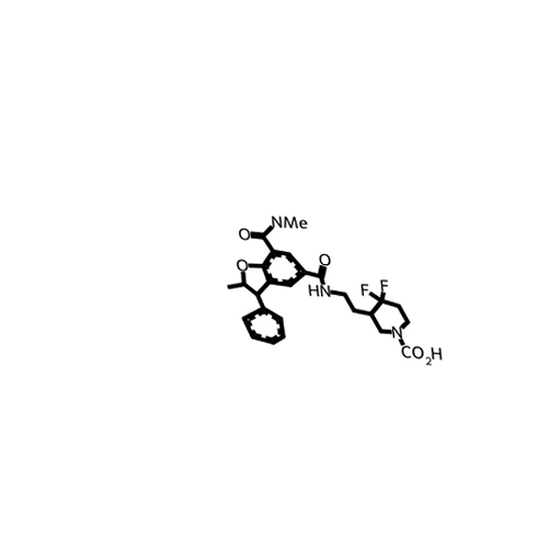 CNC(=O)c1cc(C(=O)NCCC2CN(C(=O)O)CCC2(F)F)cc2c1OC(C)C2c1ccccc1